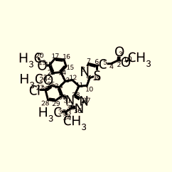 COC(=O)CCc1cnc(CC2CC(c3cccc(OC)c3OC)c3cc(Cl)ccc3-n3c(C(C)C)nnc32)s1